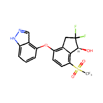 O=S(=O)(c1ccc(Oc2cccc3[nH]ncc23)c2c1[C@H](O)C(F)(F)C2)C(F)(F)F